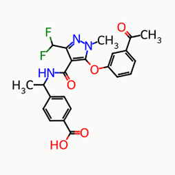 CC(=O)c1cccc(Oc2c(C(=O)NC(C)c3ccc(C(=O)O)cc3)c(C(F)F)nn2C)c1